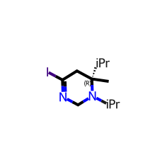 CC(C)N1CN=C(I)C[C@]1(C)C(C)C